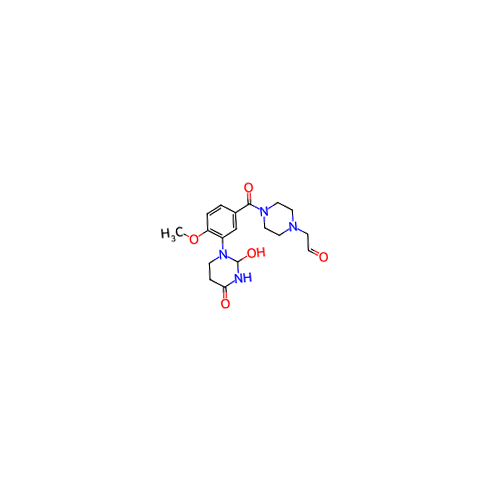 COc1ccc(C(=O)N2CCN(CC=O)CC2)cc1N1CCC(=O)NC1O